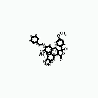 COc1ccc(C2(O)OC(=O)C(c3ccc4nsnc4c3)=C2Cc2ccc(OC)c(OCc3ccccc3)c2)cc1